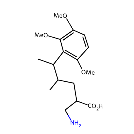 COc1ccc(OC)c(C(C)C(C)CC(CN)C(=O)O)c1OC